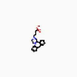 COC(=O)CCCN1CCN2c3ccccc3Cc3ccccc3C2C1